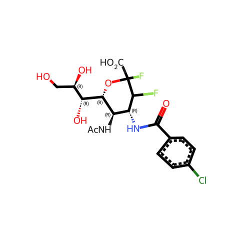 CC(=O)N[C@H]1[C@H]([C@H](O)[C@H](O)CO)OC(F)(C(=O)O)C(F)[C@@H]1NC(=O)c1ccc(Cl)cc1